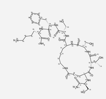 C[C@@H](O)[C@@H]1NC(=O)C(N[C@@H](CO)C(N)=O)CCC(=O)NCCCCC(C(=O)N[C@@H](CO)C(=O)N[C@@H](Cc2ccccc2)C(=O)N[C@@H](CCCCN)C(N)=O)NC(=O)[C@H](CO)NC1=O